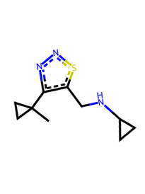 CC1(c2nnsc2CNC2CC2)CC1